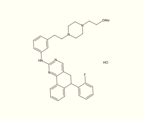 COCCN1CCN(CCc2cccc(Nc3ncc4c(n3)-c3ccccc3C(c3ccccc3F)C4)c2)CC1.Cl